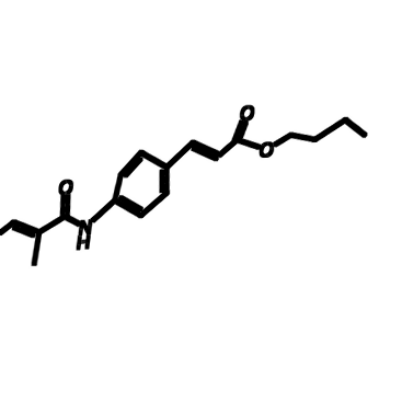 C/C=C(\C)C(=O)Nc1ccc(/C=C/C(=O)OCCCC)cc1